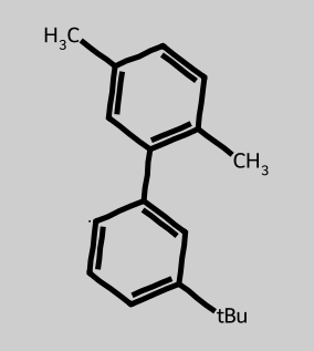 Cc1ccc(C)c(-c2[c]ccc(C(C)(C)C)c2)c1